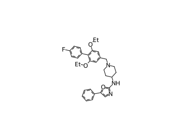 CCOc1cc(CN2CCC(Nc3ncc(-c4ccccc4)o3)CC2)cc(OCC)c1-c1ccc(F)cc1